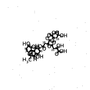 CN1CC[C@]23c4c5ccc(O)c4O[C@H]2C(OC(=O)C[C@H](OC(=O)C[C@H](O)C(=O)O)C(=O)O[C@H](CC(=O)O)C(=O)O)=CC[C@@]3(O)[C@H]1C5